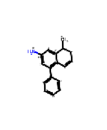 CC1CC=Cc2c(-c3ccccc3)cc(N)cc21